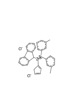 Cc1cccc([Si](c2cccc(C)c2)=[Zr+2]([C]2=CC=CC2)[CH]2c3ccccc3-c3ccccc32)c1.[Cl-].[Cl-]